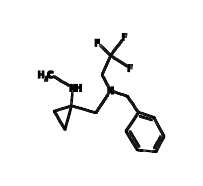 CNC1(CN(Cc2ccccc2)CC(F)(F)F)CC1